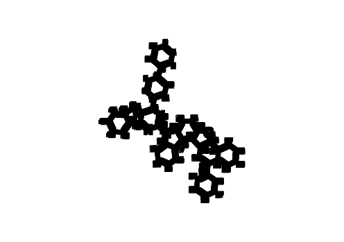 c1ccc(-c2ccc(-c3nc(-n4c5ccccc5c5c6c(ccc54)oc4c5ccccc5c(-c5ccccc5)cc46)nc4c3sc3ccccc34)cc2)cc1